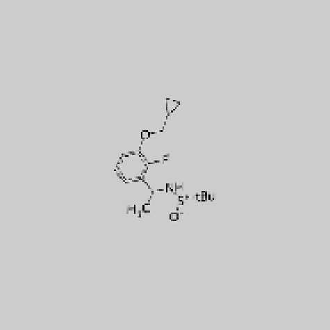 CC(N[S@@+]([O-])C(C)(C)C)c1cccc(OCC2CC2)c1F